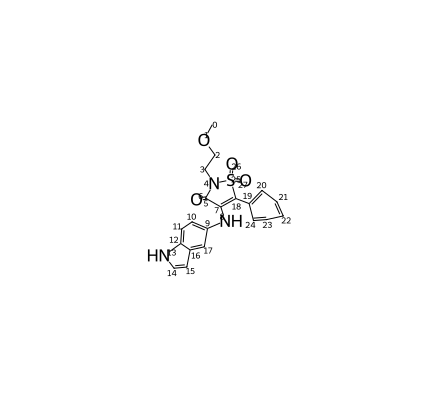 COCCN1C(=O)C(Nc2ccc3[nH]ccc3c2)=C(c2ccccc2)S1(=O)=O